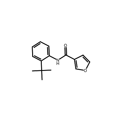 CC(C)(C)c1ccccc1NC(=O)c1ccoc1